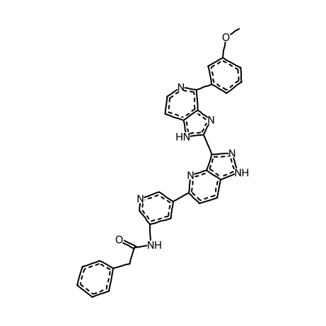 COc1cccc(-c2nccc3[nH]c(-c4n[nH]c5ccc(-c6cncc(NC(=O)Cc7ccccc7)c6)nc45)nc23)c1